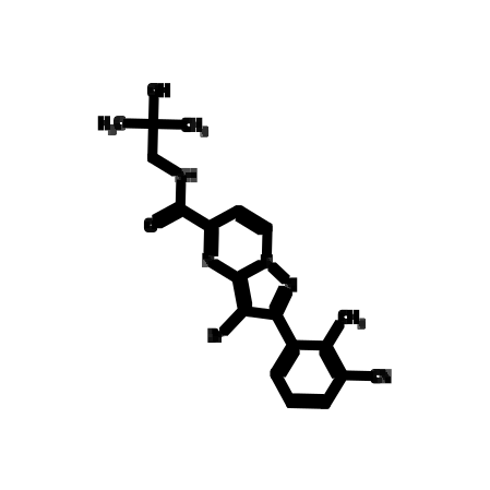 Cc1c(C#N)cccc1-c1nn2ccc(C(=O)NCC(C)(C)O)nc2c1Br